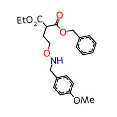 CCOC(=O)C(CCONCc1ccc(OC)cc1)C(=O)OCc1ccccc1